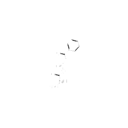 CC(C)(C)NC(=O)OPOC(=O)c1ccccc1